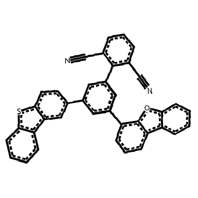 N#Cc1cccc(C#N)c1-c1cc(-c2ccc3sc4ccccc4c3c2)cc(-c2cccc3c2oc2ccccc23)c1